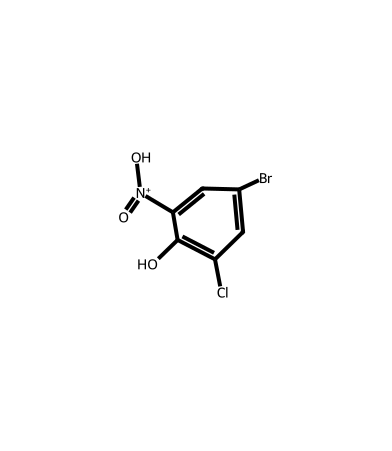 O=[N+](O)c1cc(Br)cc(Cl)c1O